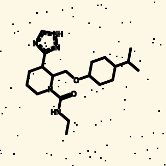 CCNC(=O)N1CCCC(c2nc[nH]n2)C1COC1CCC(C(C)C)CC1